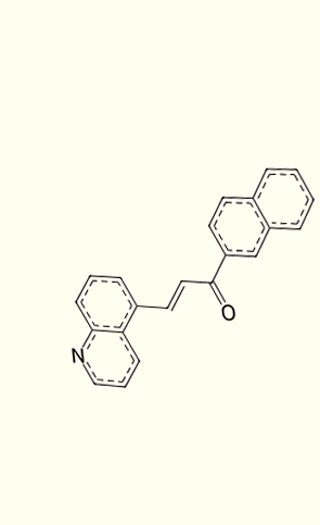 O=C(C=Cc1cccc2ncccc12)c1ccc2ccccc2c1